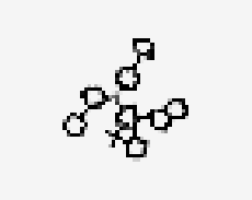 CC1(C)c2ccccc2-c2c(-c3ccc4ccccc4c3)cc(N(c3ccc(C4CC5CCC4C5)cc3)c3cccc(C4CCCCC4)c3)cc21